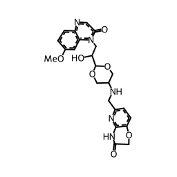 COc1ccc2ncc(=O)n(CC(O)C3OCC(NCc4ccc5c(n4)NC(=O)CO5)CO3)c2c1